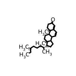 CC[C@H](C)CCCC(C)[C@H]1CCC2C3C=CC4=CC(=O)CC[C@]4(C)C3CC[C@@]21C